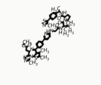 COC(=O)CC1N=C(c2ccc(-c3ccc(NCC(=O)NC(C(=O)N4CCCC4C(=O)NC(C)c4ccc(-c5scnc5C)cc4)C(C)(C)C)nc3)cc2)c2c(sc(C)c2C)-n2c(C)nnc21